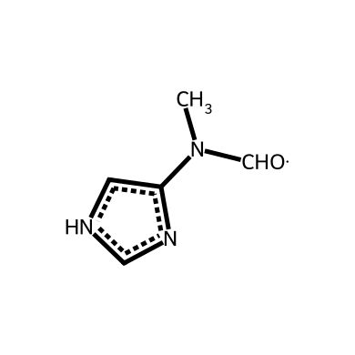 CN([C]=O)c1c[nH]cn1